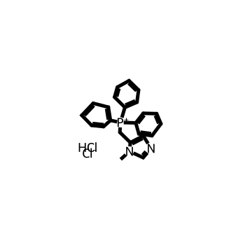 Cl.Cn1cncc1C[P+](c1ccccc1)(c1ccccc1)c1ccccc1.[Cl-]